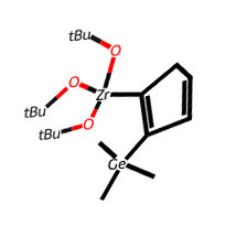 CC(C)(C)[O][Zr]([O]C(C)(C)C)([O]C(C)(C)C)[C]1=[C]([Ge]([CH3])([CH3])[CH3])C=CC1